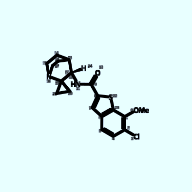 COc1c(Cl)ccc2cc(C(=O)N[C@H]3C4CCN(CC4)C34CC4)sc12